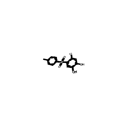 Cc1ccc(S(=O)(=O)c2cc(O)c(O)cc2Cl)cc1